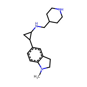 CN1CCc2cc(C3CC3NCC3CCNCC3)ccc21